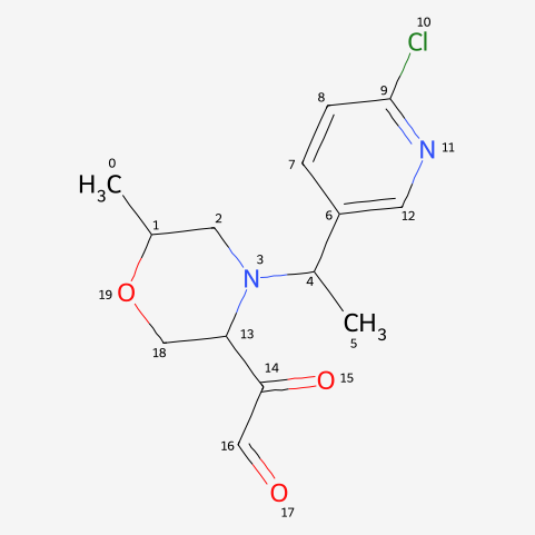 CC1CN(C(C)c2ccc(Cl)nc2)C(C(=O)C=O)CO1